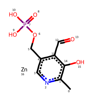 Cc1ncc(COP(=O)(O)O)c(C=O)c1O.[Zn]